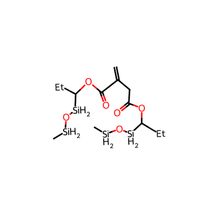 C=C(CC(=O)OC(CC)[SiH2]O[SiH2]C)C(=O)OC(CC)[SiH2]O[SiH2]C